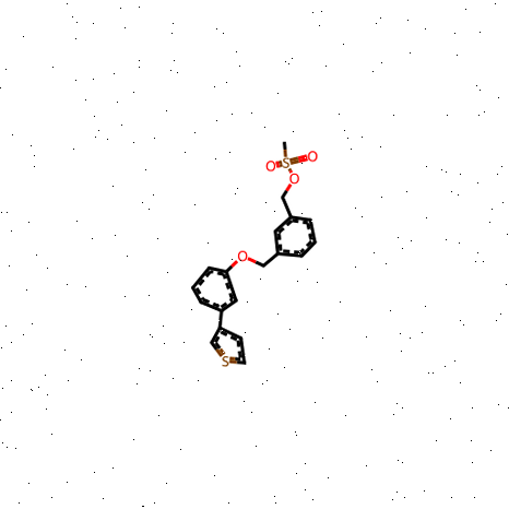 CS(=O)(=O)OCc1cccc(COc2cccc(-c3ccsc3)c2)c1